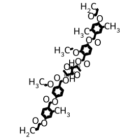 C=CC(=O)Oc1ccc(C(=O)Oc2ccc(C(=O)O[C@@H]3CO[C@H]4[C@@H]3OC[C@H]4OC(=O)c3ccc(OC(=O)c4cc(C)c(OC(=O)C=C)cc4C)cc3OCC)c(OCC)c2)c(C)c1